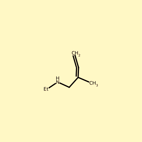 C=C=C(C)CNCC